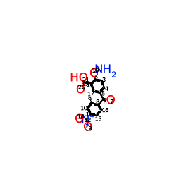 NOc1ccc(C(=O)c2ccc([N+](=O)[O-])cc2)cc1C(=O)O